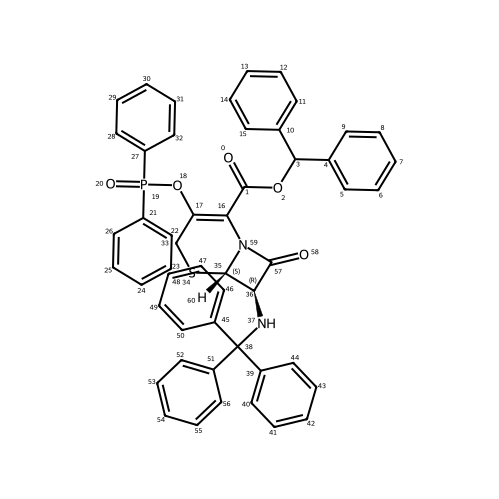 O=C(OC(c1ccccc1)c1ccccc1)C1=C(OP(=O)(c2ccccc2)c2ccccc2)CS[C@H]2[C@H](NC(c3ccccc3)(c3ccccc3)c3ccccc3)C(=O)N12